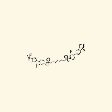 O=C(CCCCCCCC(=O)Oc1ccc(-c2ccc(C(F)(F)F)cc2)c(F)c1)Oc1ccc(-c2ccc(C(F)(F)F)cc2)c(F)c1